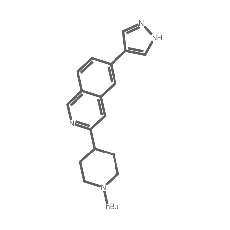 CCCCN1CCC(c2cc3cc(-c4cn[nH]c4)ccc3cn2)CC1